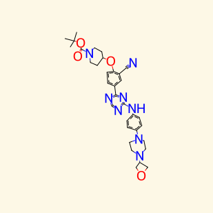 CC(C)(C)OC(=O)N1CCC(Oc2ccc(-c3ncnc(Nc4ccc(N5CCN(C6COC6)CC5)cc4)n3)cc2C#N)CC1